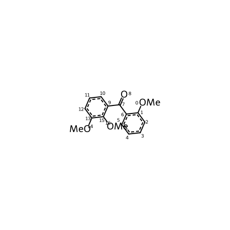 COc1ccccc1C(=O)c1cccc(OC)c1OC